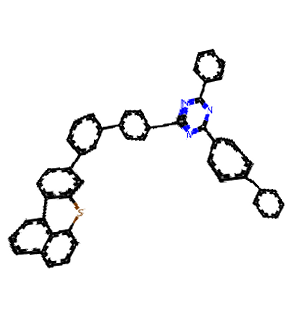 c1ccc(-c2ccc(-c3nc(-c4ccccc4)nc(-c4ccc(-c5cccc(-c6ccc7c(c6)Sc6cccc8cccc-7c68)c5)cc4)n3)cc2)cc1